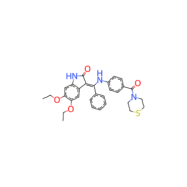 CCOc1cc2c(cc1OCC)/C(=C(/Nc1ccc(C(=O)N3CCSCC3)cc1)c1ccccc1)C(=O)N2